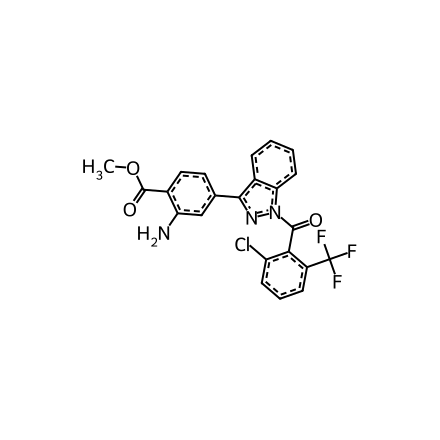 COC(=O)c1ccc(-c2nn(C(=O)c3c(Cl)cccc3C(F)(F)F)c3ccccc23)cc1N